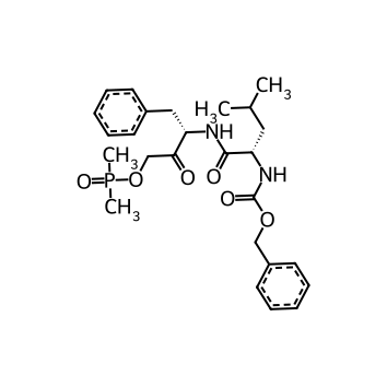 CC(C)C[C@H](NC(=O)OCc1ccccc1)C(=O)N[C@@H](Cc1ccccc1)C(=O)COP(C)(C)=O